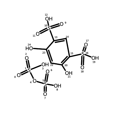 O=S(=O)(O)OS(=O)(=O)O.O=S(=O)(O)c1cc(S(=O)(=O)O)c(O)cc1O